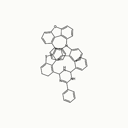 C1=c2sc3c(-c4cccc5oc6cccc(-n7c8ccccc8c8ccccc87)c6c45)cccc3c2=C(C2N=C(c3ccccc3)NC(c3ccccc3)N2)CC1